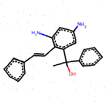 CC(O)(c1ccccc1)c1cc(N)cc(N)c1C=Cc1ccccc1